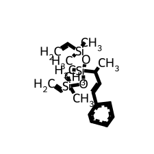 C=C[Si](C)(C)O[Si](C)(O[Si](C)(C)C=C)C(C)C=Cc1ccccc1